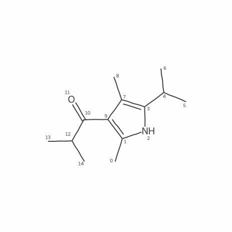 Cc1[nH]c(C(C)C)c(C)c1C(=O)C(C)C